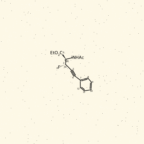 CCOC(=O)[C@@H](NC(C)=O)[C@@H](F)C#Cc1ccccc1